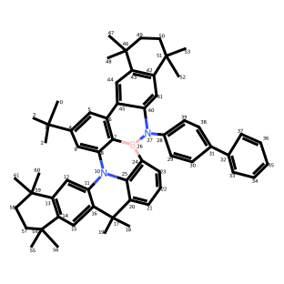 CC(C)(C)c1cc2c3c(c1)N1c4cc5c(cc4C(C)(C)c4cccc(c41)B3N(c1ccc(-c3ccccc3)cc1)c1cc3c(cc1-2)C(C)(C)CCC3(C)C)C(C)(C)CCC5(C)C